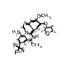 COc1cc2ncnc(N[C@H](C)c3cc(N)cc(C(F)(F)F)c3)c2cc1O[C@H]1CCOC1